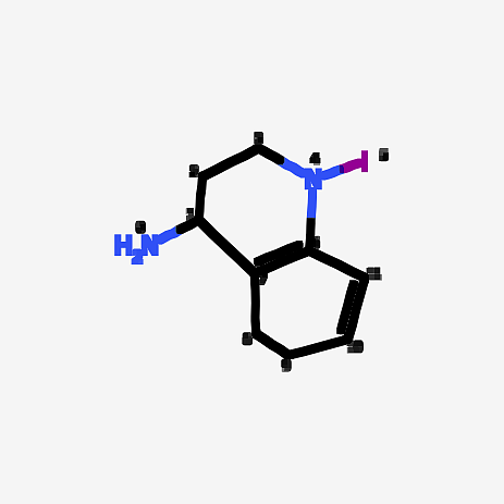 NC1CCN(I)C2=C1CCC=C2